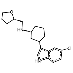 Clc1ccc2[nH]cc([C@@H]3CCC[C@H](NC[C@H]4CCCO4)C3)c2c1